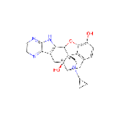 Oc1ccc2c3c1OC1c4[nH]c5nccnc5c4C[C@@]4(O)C(C2)N(C2CC2)CC[C@]314